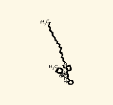 CCCCCCCCCCCCCCCCCCCCn1ccc2c(CCC(NS(=O)(=O)c3ccc(C)cc3)c3ccccc3)cccc21